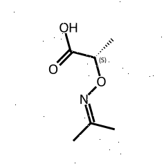 CC(C)=NO[C@@H](C)C(=O)O